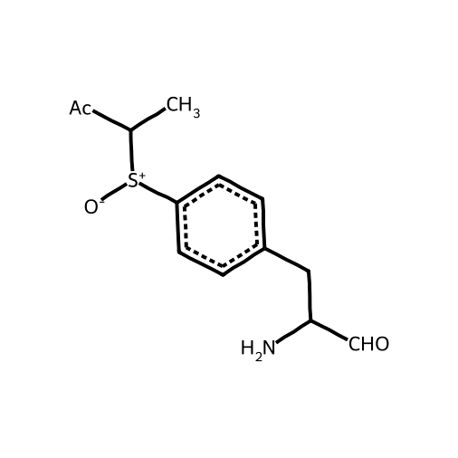 CC(=O)C(C)[S+]([O-])c1ccc(CC(N)C=O)cc1